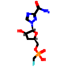 NC(=O)c1ncn([C@@H]2O[C@H](COP(=O)(O)CF)C[C@H]2O)n1